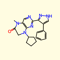 CN1C(=O)CN(C2CCCC2)c2nc(-c3n[nH]cc3-c3ccccc3)ncc21